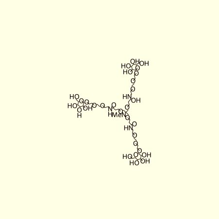 CNC(COCCC(=O)NCCOCCOCCO[C@H]1OC(CO)[C@@H](O)C(O)C1O)(COCCC(=O)NCCOCCOCCO[C@H]1OC(CO)[C@@H](O)C(O)C1O)COCCC(O)NCCOCCOCCO[C@H]1OC(CO)[C@@H](O)C(O)C1O